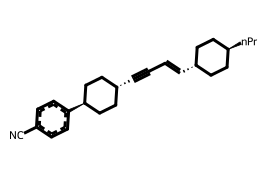 CCC[C@H]1CC[C@H](C=CC#C[C@H]2CC[C@H](c3ccc(C#N)cc3)CC2)CC1